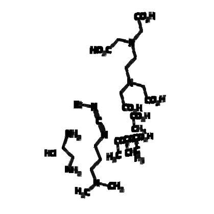 CC(=O)O.CC(=O)O.CC(=O)O.CC(=O)O.CCN=C=NCCCN(C)C.Cl.NCCN.O=C(O)CN(CCN(CC(=O)O)CC(=O)O)CC(=O)O